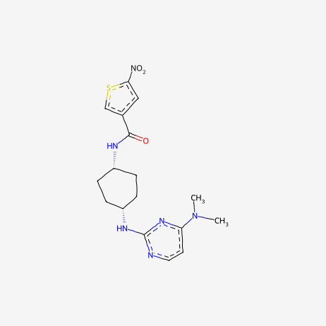 CN(C)c1ccnc(N[C@H]2CC[C@@H](NC(=O)c3csc([N+](=O)[O-])c3)CC2)n1